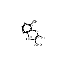 O=CC1=C(Cl)Oc2c(O)cccc2N1